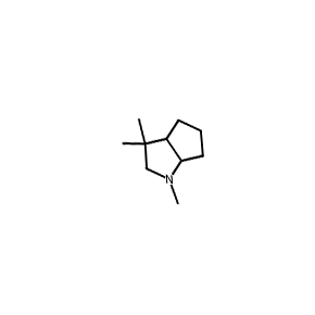 CN1CC(C)(C)C2CCCC21